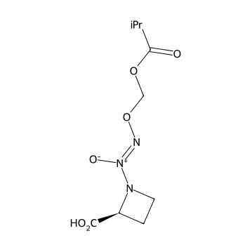 CC(C)C(=O)OCO/N=[N+](\[O-])N1CC[C@H]1C(=O)O